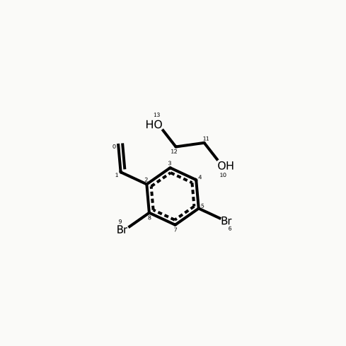 C=Cc1ccc(Br)cc1Br.OCCO